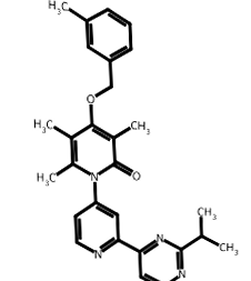 Cc1cccc(COc2c(C)c(C)n(-c3ccnc(-c4ccnc(C(C)C)n4)c3)c(=O)c2C)c1